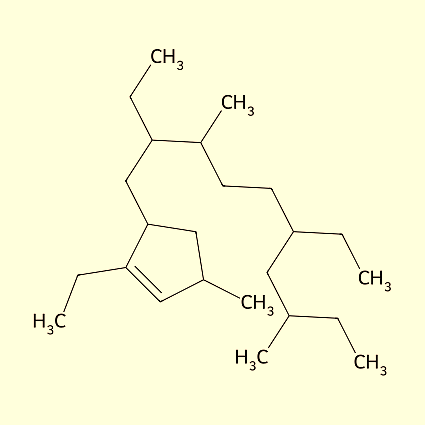 CCC1=CC(C)CC1CC(CC)C(C)CCC(CC)CC(C)CC